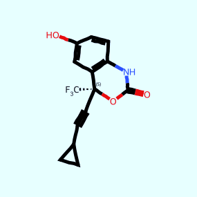 O=C1Nc2ccc(O)cc2[C@@](C#CC2CC2)(C(F)(F)F)O1